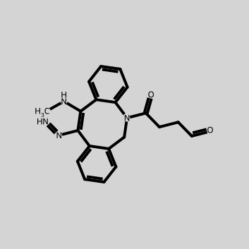 CN/C1=C(\N=N)c2ccccc2CN(C(=O)CCC=O)c2ccccc21